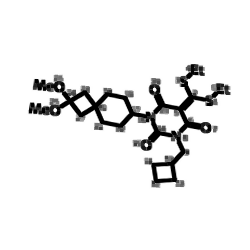 CCSC(SCC)=C1C(=O)N(CC2CCC2)C(=O)N(C2CCC3(CC2)CC(OC)(OC)C3)C1=O